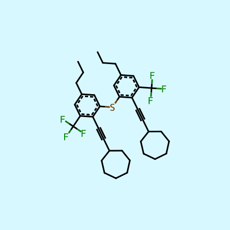 CCCc1cc(Sc2cc(CCC)cc(C(F)(F)F)c2C#CC2CCCCCC2)c(C#CC2CCCCCC2)c(C(F)(F)F)c1